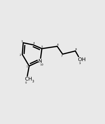 Cc1cccc(CCCO)n1